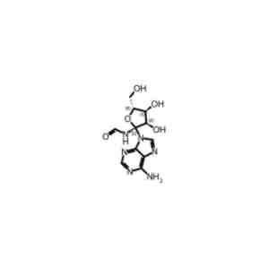 Nc1ncnc2c1ncn2[C@]1(NC=O)O[C@H](CO)[C@@H](O)[C@H]1O